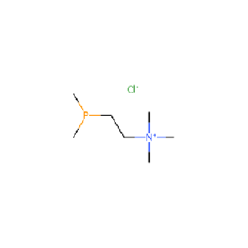 CP(C)CC[N+](C)(C)C.[Cl-]